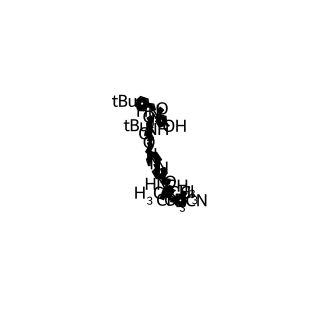 CC(C)(C)c1ccc(CNC(=O)[C@@H]2C[C@@H](O)CN2C(=O)[C@@H](NC(=O)COCCN2CCN(c3ccc(C(=O)N[C@H]4C(C)(C)[C@H](Oc5ccc(C#N)c(Cl)c5)C4(C)C)cn3)CC2)C(C)(C)C)cc1